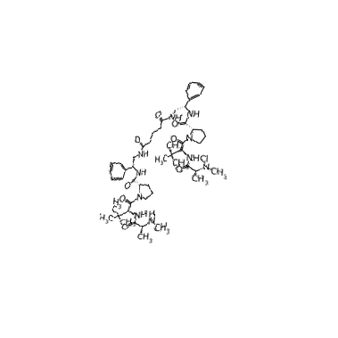 CN[C@@H](C)C(=O)N[C@H](C(=O)N1CCC[C@H]1C(=O)N[C@H](CNC(=O)CCCC(=O)NC[C@@H](NC(=O)[C@@H]1CCCN1C(=O)[C@@H](NC(=O)[C@H](C)N(C)Cl)C(C)(C)C)c1ccccc1)c1ccccc1)C(C)(C)C